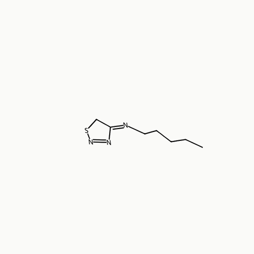 CCCCCN=C1CSN=N1